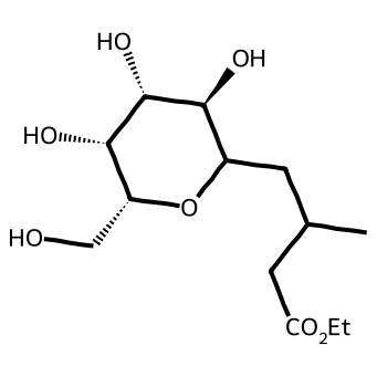 CCOC(=O)CC(C)CC1O[C@H](CO)[C@H](O)[C@H](O)[C@H]1O